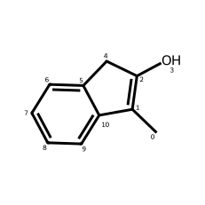 CC1=C(O)Cc2ccccc21